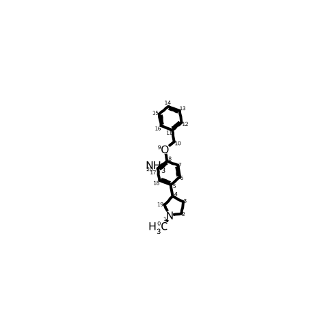 CN1CCC(c2ccc(OCc3ccccc3)cc2)C1.N